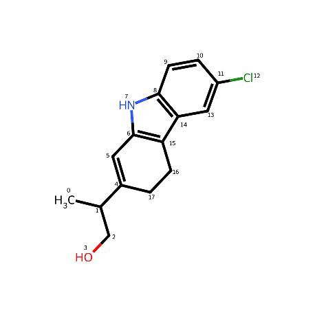 CC(CO)C1=Cc2[nH]c3ccc(Cl)cc3c2CC1